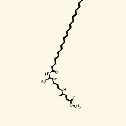 CCC=CCC=CCC=CCC=CCC=CCC=CCCC(=O)NC(C)NCCCNC(=O)C=CC(=O)OC